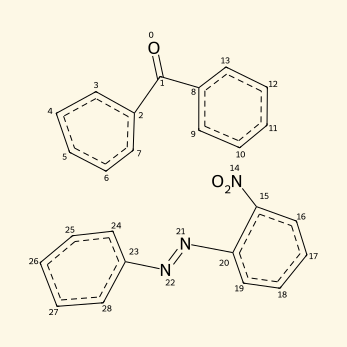 O=C(c1ccccc1)c1ccccc1.O=[N+]([O-])c1ccccc1N=Nc1ccccc1